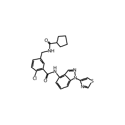 O=C(Nc1cccc2c1cnn2-c1cscn1)c1cc(CNC(=O)C2CCCC2)ccc1Cl